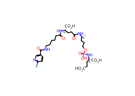 C[C@H](CCCOP(=O)(O)N[C@@H](CCC(=O)O)C(=O)O)NC(=O)CC[C@H](NC(=O)CCCCCNC(=O)c1ccc(F)nc1)C(=O)O